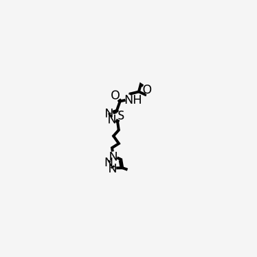 Cc1cn(CCCCc2nnc(C(=O)NCC3COC3)s2)nn1